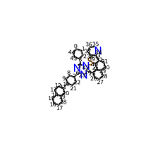 c1ccc(-c2nc(-c3ccc(-c4ccc5ccccc5c4)cc3)nc(-c3cccc4ccc5c6ncccc6sc5c34)n2)cc1